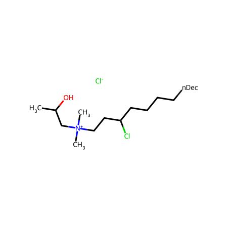 CCCCCCCCCCCCCCC(Cl)CC[N+](C)(C)CC(C)O.[Cl-]